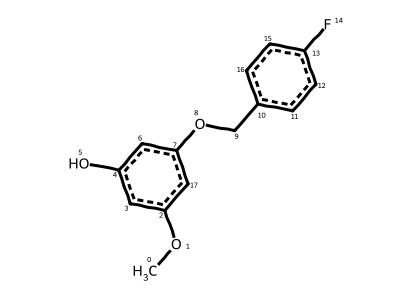 COc1cc(O)cc(OCc2ccc(F)cc2)c1